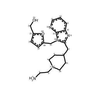 NCCN1CCC(Cc2nc3cccnc3n2Cc2ccc(CO)o2)CC1